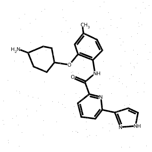 Cc1ccc(NC(=O)c2cccc(-c3cc[nH]n3)n2)c(OC2CCC(N)CC2)c1